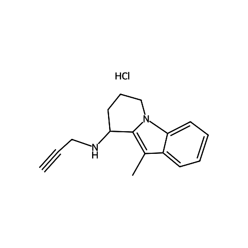 C#CCNC1CCCn2c1c(C)c1ccccc12.Cl